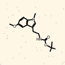 COc1ccc2c(c1)c(CCNC(=O)OC(C)(C)C)cn2C